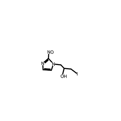 O=Nc1nccn1CC(O)CI